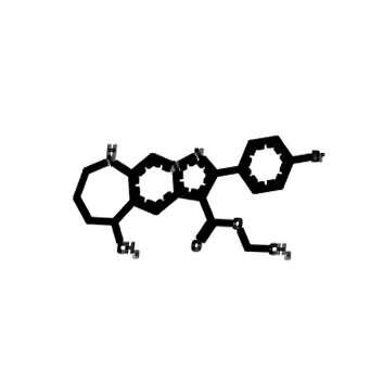 CCOC(=O)c1c(-c2ccc(Br)cc2)nn2cc3c(cc12)C(C)CCCN3